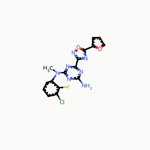 CN(c1nc(N)nc(-c2noc(-c3ccco3)n2)n1)c1cccc(Cl)c1F